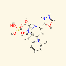 Cc1ccccn1.O=C1N2C[C@@H](CC[C@H]2c2nnco2)N1OS(=O)(=O)O